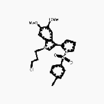 COc1cc2c(-c3cccn3S(=O)(=O)c3ccc(C)cc3)cn(CCCCl)c2cc1OC